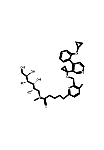 Cc1ccc(CCCCC(=O)N(C)C[C@H](O)[C@@H](O)[C@H](O)[C@H](O)CO)nc1COC1(c2cnccc2-c2ccccc2OC2CC2)CC1